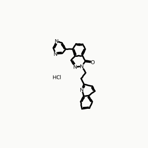 Cl.O=c1c2cccc(-c3cncnc3)c2cnn1CCc1ccc2ccccc2n1